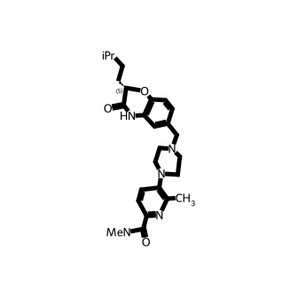 CNC(=O)c1ccc(N2CCN(Cc3ccc4c(c3)NC(=O)[C@H](CCC(C)C)O4)CC2)c(C)n1